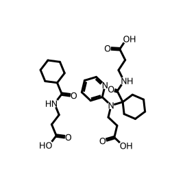 O=C(O)CCNC(=O)C1(N(CCC(=O)O)c2ccccn2)CCCCC1.O=C(O)CCNC(=O)C1CCCCC1